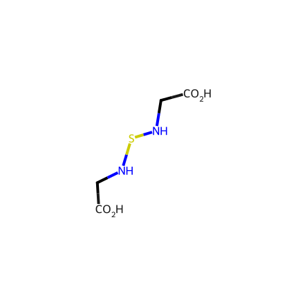 O=C(O)CNSNCC(=O)O